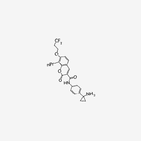 CCCc1c(OCCC(F)(F)F)ccc2cc(C(=O)Nc3ccc(C4(N)CC4)cc3)c(=O)oc12